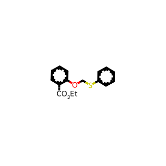 CCOC(=O)c1ccccc1OCSc1ccccc1